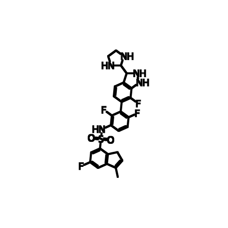 CC1=CCc2c1cc(F)cc2S(=O)(=O)Nc1ccc(F)c(-c2ccc3c(c2F)NNC3C2NCCN2)c1F